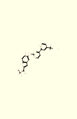 CN(C)C(=O)c1cc2cc(Nc3nccc(-c4cc(C(C)(F)F)ccn4)n3)ccc2[nH]1